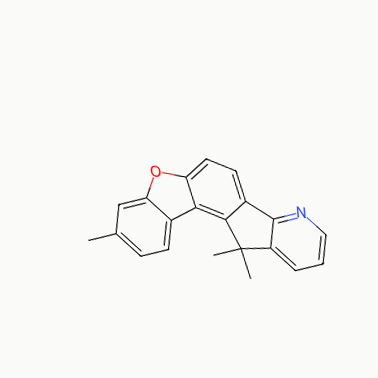 Cc1ccc2c(c1)oc1ccc3c(c12)C(C)(C)c1cccnc1-3